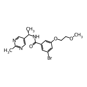 COCCOc1cc(Br)cc(C(=O)N[C@H](C)c2cnc(C)nc2)c1